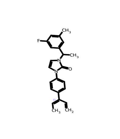 C=C/C(=C\C)c1ccc(-n2ccn(C(C)c3cc(C)cc(F)c3)c2=O)cc1